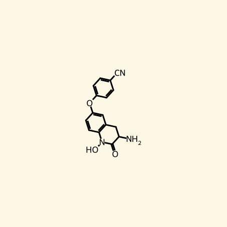 N#Cc1ccc(Oc2ccc3c(c2)CC(N)C(=O)N3O)cc1